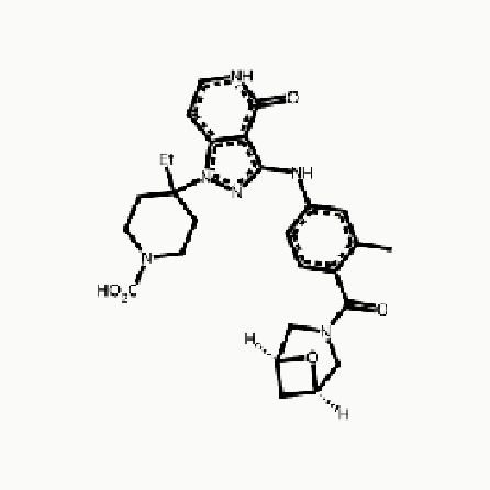 CCC1(n2nc(Nc3ccc(C(=O)N4C[C@H]5C[C@@H](C4)O5)c(C)c3)c3c(=O)[nH]ccc32)CCN(C(=O)O)CC1